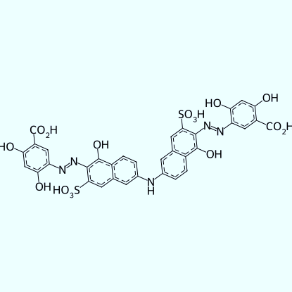 O=C(O)c1cc(N=Nc2c(S(=O)(=O)O)cc3cc(Nc4ccc5c(O)c(N=Nc6cc(C(=O)O)c(O)cc6O)c(S(=O)(=O)O)cc5c4)ccc3c2O)c(O)cc1O